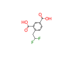 O=C(O)c1ccc(CC(F)F)c(C(=O)O)c1